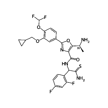 C[C@H](N)c1oc(-c2ccc(OC(F)F)c(OCC3CC3)c2)nc1C(=O)NC(C(N)=S)c1ccc(F)cc1F